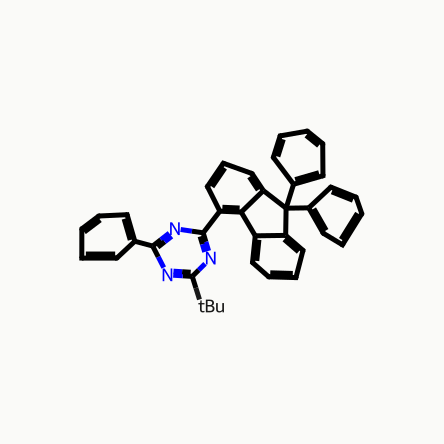 CC(C)(C)c1nc(-c2ccccc2)nc(-c2cccc3c2-c2ccccc2C3(c2ccccc2)c2ccccc2)n1